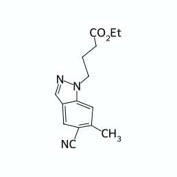 CCOC(=O)CCCn1ncc2cc(C#N)c(C)cc21